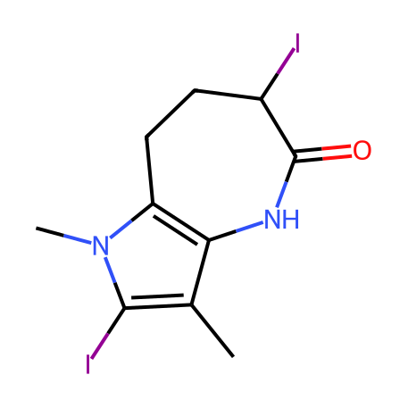 Cc1c2c(n(C)c1I)CCC(I)C(=O)N2